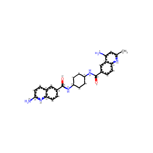 Cc1cc(N)c2cc(C(=O)NC3CCC(NC(=O)c4ccc5nc(N)ccc5c4)CC3)ccc2n1